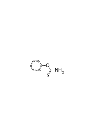 NC(=S)Oc1[c]cccc1